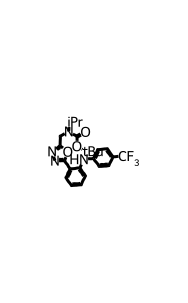 CC(C)N(Cc1nnc(-c2ccccc2Nc2ccc(C(F)(F)F)cc2)o1)C(=O)OC(C)(C)C